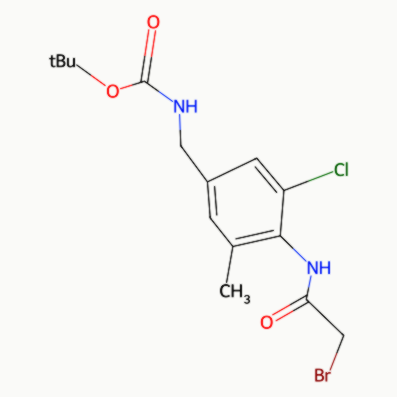 Cc1cc(CNC(=O)OC(C)(C)C)cc(Cl)c1NC(=O)CBr